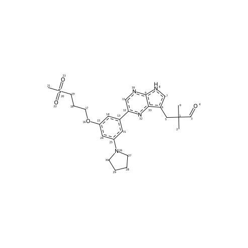 CC(C)(C=O)Cc1c[nH]c2ncc(-c3cc(OCCCS(C)(=O)=O)cc(N4CCCC4)c3)nc12